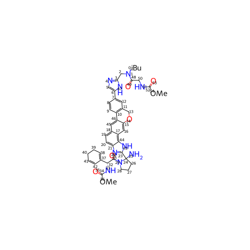 CC[C@H](C)N(Cc1ncc(-c2ccc3c(c2)COc2cc4c(ccc5nc(C6(N)CCCN6C(=O)[C@H](NC(=O)OC)C6=CCCC=C6)[nH]c54)cc2-3)[nH]1)C(=O)CNC(=O)OC